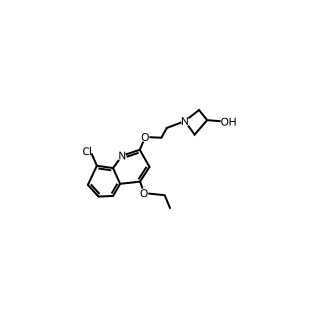 CCOc1cc(OCCN2CC(O)C2)nc2c(Cl)cccc12